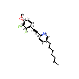 CCCCCCCc1ccc(C#Cc2ccc(OC)c(F)c2F)nc1